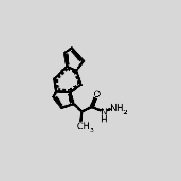 CC(C(=O)NN)C1=c2cc3c(cc2C=C1)=CC=C3